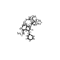 CC1(O)C(O)[C@H]2COc3nc(N)c4c(-c5ccccc5)cn(c4n3)[C@@H]1O2